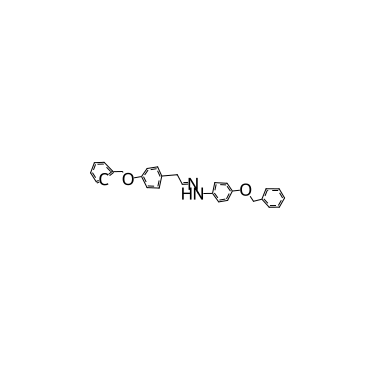 C(Cc1ccc(OCc2ccccc2)cc1)=NNc1ccc(OCc2ccccc2)cc1